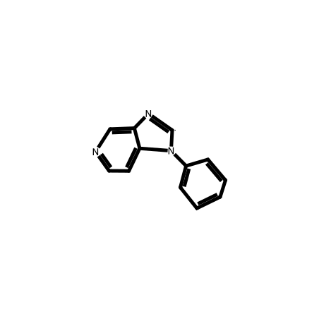 [c]1nc2cnccc2n1-c1ccccc1